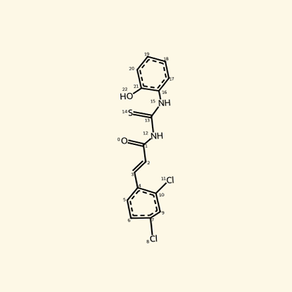 O=C(/C=C/c1ccc(Cl)cc1Cl)NC(=S)Nc1ccccc1O